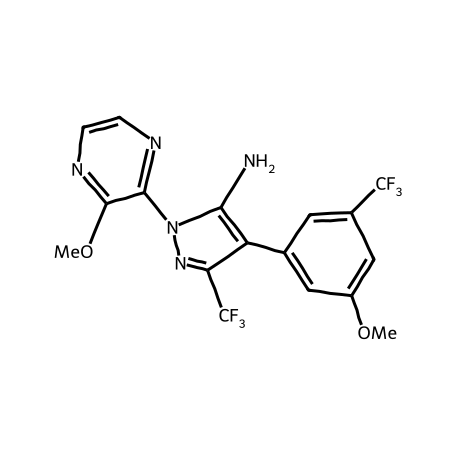 COc1cc(-c2c(C(F)(F)F)nn(-c3nccnc3OC)c2N)cc(C(F)(F)F)c1